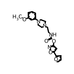 COc1cccc(N2CCN(CCNC(=O)Oc3cc(-c4ccco4)on3)CC2)c1